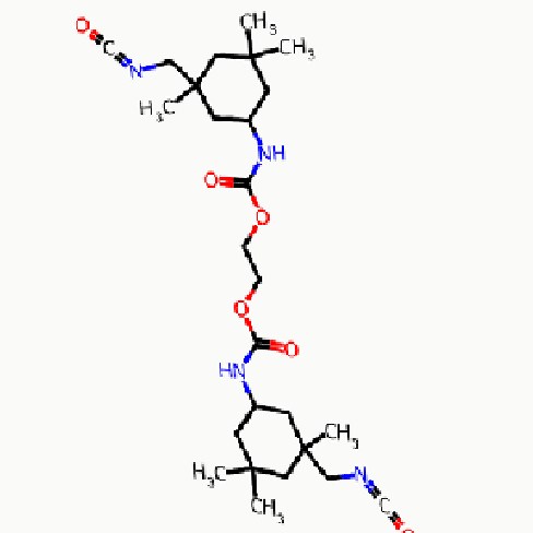 CC1(C)CC(NC(=O)OCCOC(=O)NC2CC(C)(C)CC(C)(CN=C=O)C2)CC(C)(CN=C=O)C1